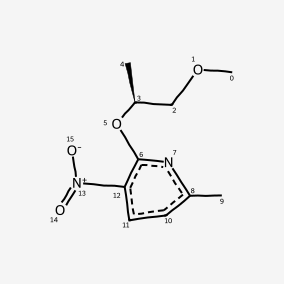 COC[C@H](C)Oc1nc(C)ccc1[N+](=O)[O-]